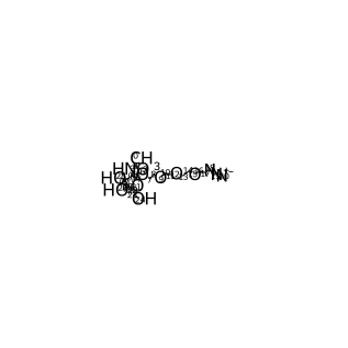 CC(=O)N[C@H]1[C@H](OCCOCCOCCOCCN=[N+]=[N-])O[C@H](CO)[C@H](O)[C@@H]1O